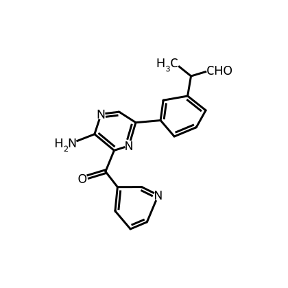 CC(C=O)c1cccc(-c2cnc(N)c(C(=O)c3cccnc3)n2)c1